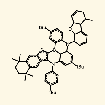 CC1CC=CC2OC3C(=CC=CC3N3c4ccc(C(C)(C)C)cc4B4c5sc6cc7c(cc6c5N(c5ccc(C(C)(C)C)cc5)C5=CC(C(C)(C)C)=CC3C45)C(C)(C)CCC7(C)C)C12